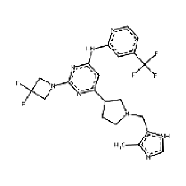 Cc1nc[nH]c1CN1CCC(c2cc(Nc3cc(C(F)(F)F)ccn3)nc(N3CC(F)(F)C3)n2)C1